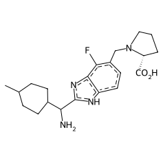 CC1CCC(C(N)c2nc3c(F)c(CN4CCC[C@@H]4C(=O)O)ccc3[nH]2)CC1